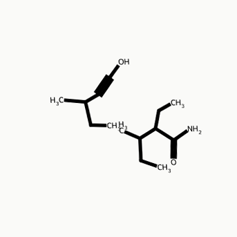 CCC(C)C#CO.CCC(C)C(CC)C(N)=O